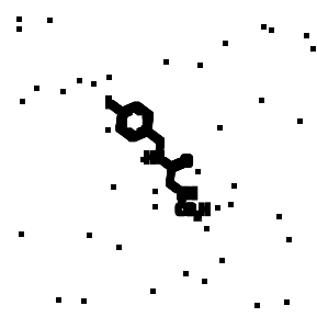 O=C(O)NCC(=O)NCc1ccc(I)cc1